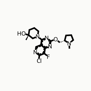 CN1CCC[C@H]1COc1nc(N2CCC[C@@](C)(O)C2)c2cnc(Cl)c(F)c2n1